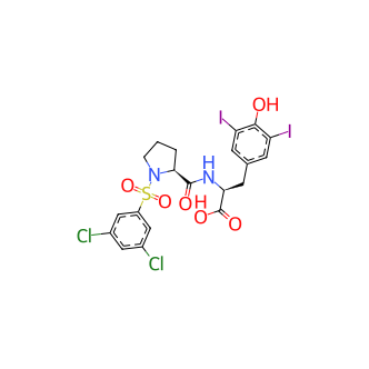 O=C(O)[C@H](Cc1cc(I)c(O)c(I)c1)NC(=O)[C@@H]1CCCN1S(=O)(=O)c1cc(Cl)cc(Cl)c1